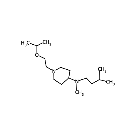 CC(C)CCN(C)C1CCN(CCOC(C)C)CC1